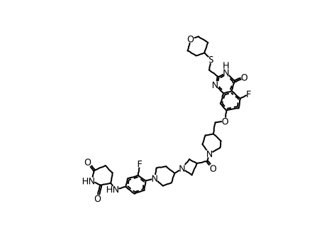 O=C1CCC(Nc2ccc(N3CCC(N4CC(C(=O)N5CCC(COc6cc(F)c7c(=O)[nH]c(CSC8CCOCC8)nc7c6)CC5)C4)CC3)c(F)c2)C(=O)N1